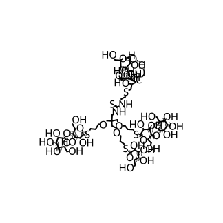 OCC1O[C@@H]2OCCCCCC3C(CSCCNC(=S)NCC(CCOCCCS[C@@H]4OC(CO)[C@@H](O)[C@H](O)C4O)(COCCCS[C@@H]4OC(CO)[C@@H](O[C@@H]5OC(CO)[C@H](O)[C@H](O)C5O)[C@H](O)C4O)COCCCS[C@@H]4OC(CO)[C@@H](O[C@@H]5OC(CO)[C@H](O)[C@H](O)C5O)[C@H](O)C4O)O[C@H](OC1[C@H](O)C2O)C(O)[C@H]3O